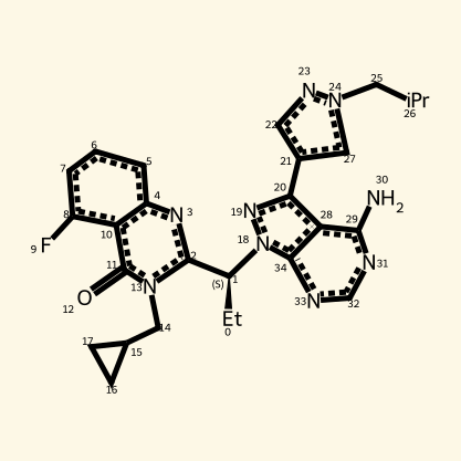 CC[C@@H](c1nc2cccc(F)c2c(=O)n1CC1CC1)n1nc(-c2cnn(CC(C)C)c2)c2c(N)ncnc21